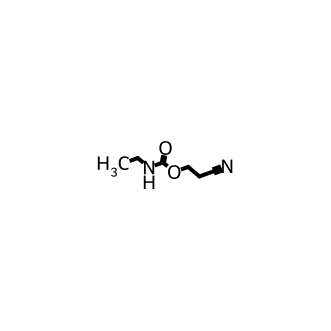 CCNC(=O)OCCC#N